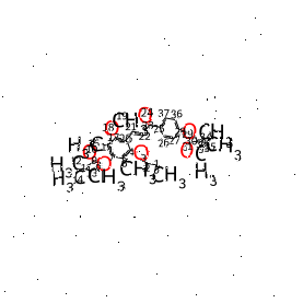 CCCOc1c(C)c(OC(=O)C(C)(C)C)c(C)c(OC)c1C=CC(=O)c1ccc(OC(=O)C(C)(C)C)cc1